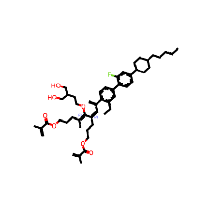 C=C(C)C(=O)OCCCC(=C/C(=C)c1ccc(-c2ccc(C3CCC(CCCCC)CC3)cc2F)cc1CC)/C(OCCC(CO)CO)=C(\C)CCCOC(=O)C(=C)C